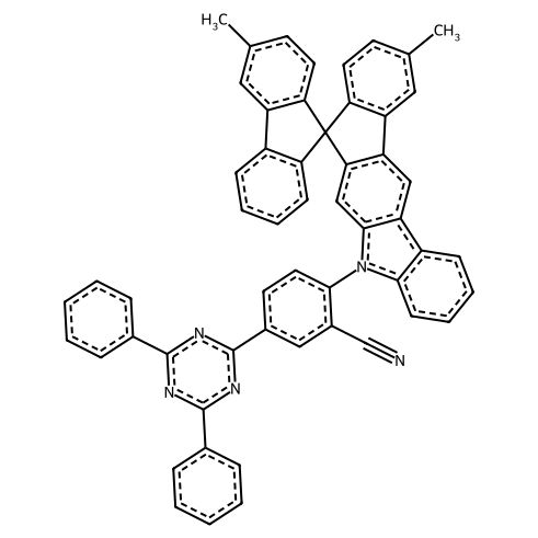 Cc1ccc2c(c1)-c1ccccc1C21c2ccc(C)cc2-c2cc3c4ccccc4n(-c4ccc(-c5nc(-c6ccccc6)nc(-c6ccccc6)n5)cc4C#N)c3cc21